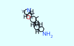 CC1=C2C[C@H]3[C@@H](CC[C@@H]4CC(N)CC[C@@]43C)[C@@H]2CC[C@@]2(C1)O[C@@H]1C[C@H](C)CN(C)[C@H]1[C@H]2C